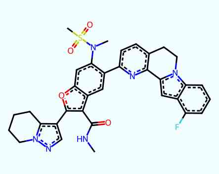 CNC(=O)c1c(-c2cnn3c2CCCC3)oc2cc(N(C)S(C)(=O)=O)c(-c3ccc4c(n3)-c3cc5c(F)cccc5n3CC4)cc12